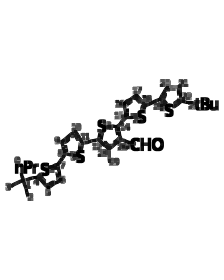 CCCC(C)(C)c1ccc(-c2ccc(-c3sc(-c4ccc(-c5ccc(C(C)(C)C)s5)s4)c(C=O)c3C)s2)s1